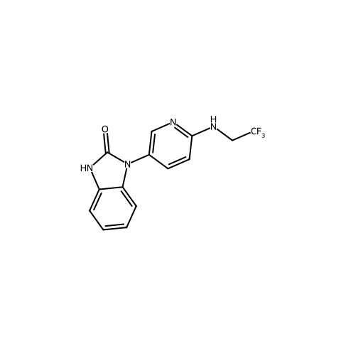 O=c1[nH]c2ccccc2n1-c1ccc(NCC(F)(F)F)nc1